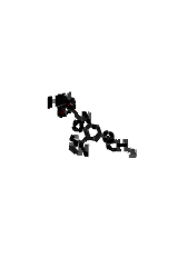 COc1cc(-c2nccs2)c2oc(N3CC4CCC(C3)NC4)nc2c1